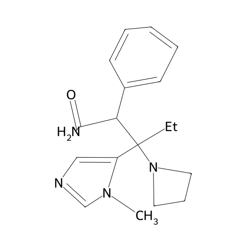 CCC(c1cncn1C)(C(C(N)=O)c1ccccc1)N1CCC1